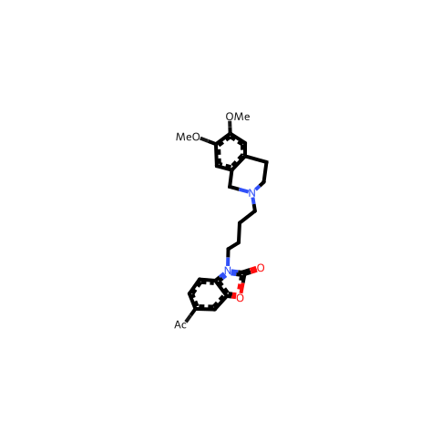 COc1cc2c(cc1OC)CN(CCCCn1c(=O)oc3cc(C(C)=O)ccc31)CC2